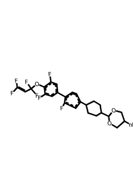 CCCC1COC(C2CCC(c3ccc(-c4cc(F)c(OC(F)(F)C=C(F)F)c(F)c4)c(F)c3)CC2)OC1